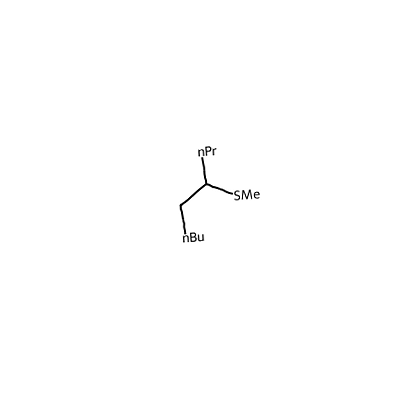 CCCCCC(CCC)SC